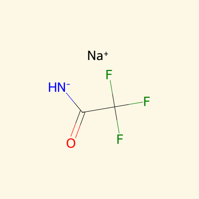 [NH-]C(=O)C(F)(F)F.[Na+]